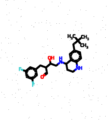 CC(C)(C)Cc1ccc2c(c1)C(NCC(O)C(C=O)Cc1cc(F)cc(F)c1)CCN2